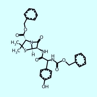 CC1(C)S[C@@H]2[C@H](NC(=O)C(NC(=O)OCc3ccccc3)c3ccc(O)cc3)C(=O)N2[C@H]1C(=O)OCc1ccccc1